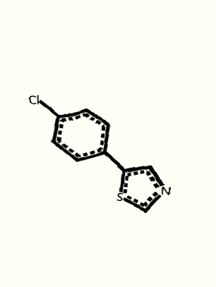 Clc1ccc(-c2cncs2)cc1